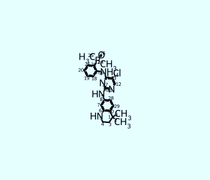 CC1(C)CCNc2cc(Nc3ncc(Cl)c(Nc4ccccc4P(C)(C)=O)n3)ccc21